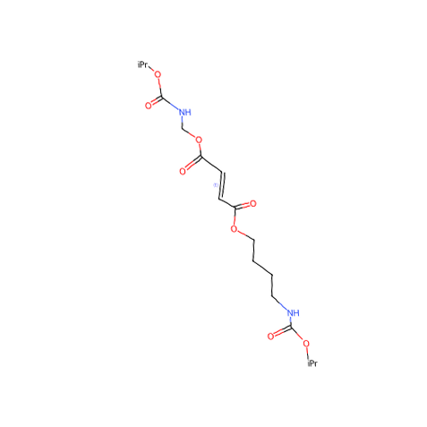 CC(C)OC(=O)NCCCCOC(=O)/C=C/C(=O)OCNC(=O)OC(C)C